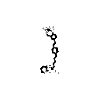 CC(C)(CCCCCc1ccc(C=Cc2ccc3c(c2)COC(C)(C)O3)cc1)OC1CCCCO1